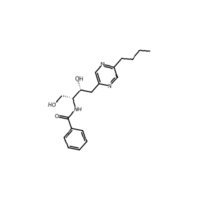 CCCCc1cnc(C[C@@H](O)[C@@H](CO)NC(=O)c2ccccc2)cn1